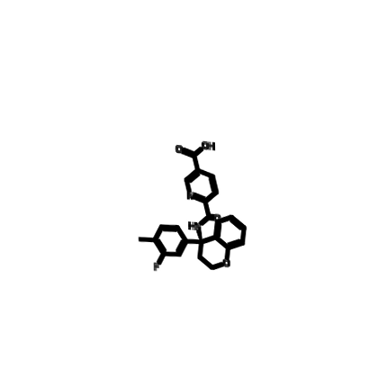 Cc1ccc([C@@]2(NC(=O)c3ccc(C(=O)O)cn3)CCOc3ccccc32)cc1F